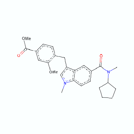 COC(=O)c1ccc(Cc2cn(C)c3ccc(C(=O)N(C)C4CCCC4)cc23)c(OC)c1